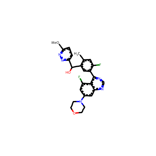 COc1ccc(C(O)c2cc(-c3ncnc4cc(N5CCOCC5)cc(F)c34)c(F)cc2C)nn1